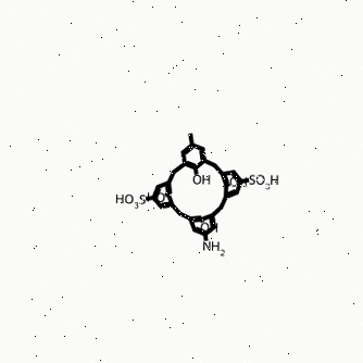 Cc1cc2c(O)c(c1)Cc1cc(S(=O)(=O)O)cc(c1O)Cc1cc(N)cc(c1O)Cc1cc(S(=O)(=O)O)cc(c1O)C2